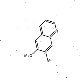 CCCc1cc2ncccc2cc1OC